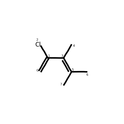 C=C(Cl)C(C)=C(C)C